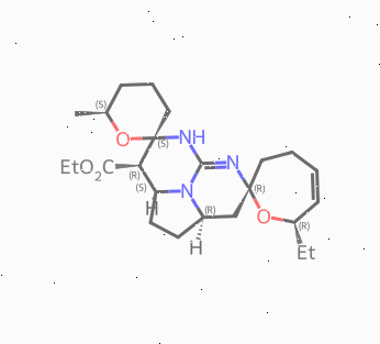 CCOC(=O)[C@@H]1[C@@H]2CC[C@@H]3C[C@]4(CCC=C[C@@H](CC)O4)N=C(N[C@]14CCC[C@H](C)O4)N32